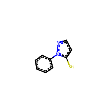 Sc1ccnn1-c1ccccc1